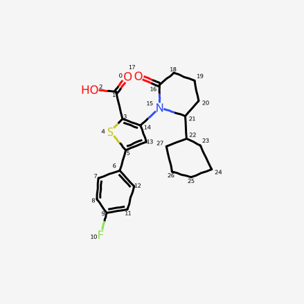 O=C(O)c1sc(-c2ccc(F)cc2)cc1N1C(=O)CCCC1C1CCCCC1